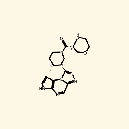 C[C@@H]1CCN(C(=O)[C@H]2COCCN2)C[C@@H]1c1nnc2cnc3[nH]ccc3n12